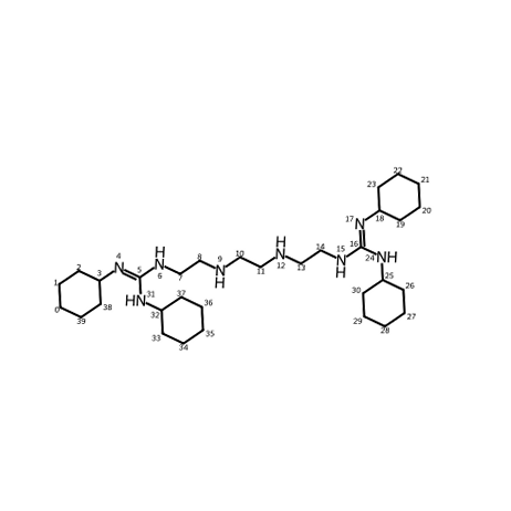 C1CCC(N=C(NCCNCCNCCNC(=NC2CCCCC2)NC2CCCCC2)NC2CCCCC2)CC1